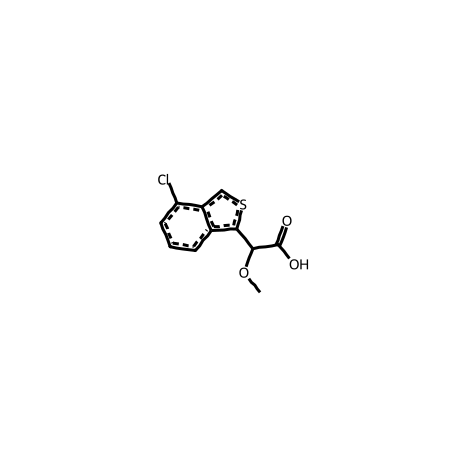 COC(C(=O)O)c1scc2c(Cl)cccc12